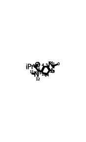 Cc1nc2cc(C(C(=O)C(C)C)N(C)C)ccc2s1